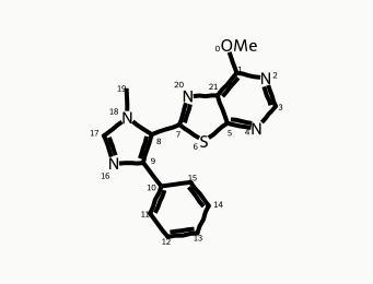 COc1ncnc2sc(-c3c(-c4ccccc4)ncn3C)nc12